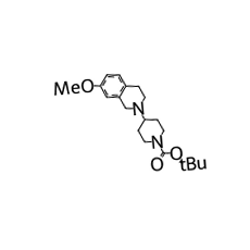 COc1ccc2c(c1)CN(C1CCN(C(=O)OC(C)(C)C)CC1)CC2